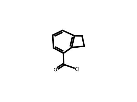 O=C(Cl)c1cccc2c1CC2